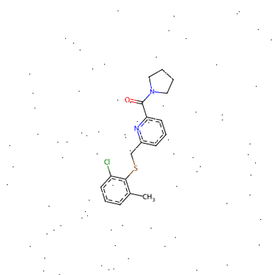 Cc1cccc(Cl)c1SCc1cccc(C(=O)N2CCCC2)n1